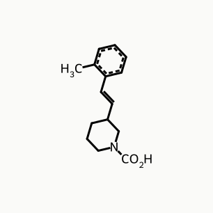 Cc1ccccc1C=CC1CCCN(C(=O)O)C1